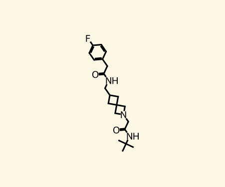 CC(C)(C)NC(=O)CN1CC2(CC(CNC(=O)Cc3ccc(F)cc3)C2)C1